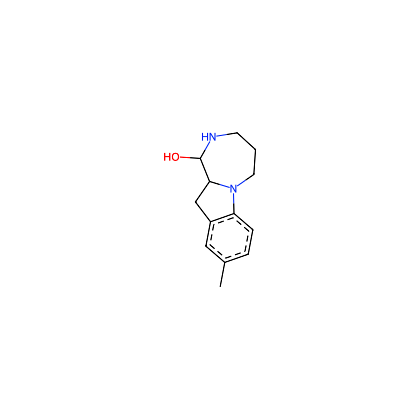 Cc1ccc2c(c1)CC1C(O)NCCCN21